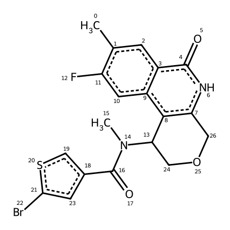 Cc1cc2c(=O)[nH]c3c(c2cc1F)C(N(C)C(=O)c1csc(Br)c1)COC3